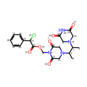 CC(C(C)N1CC(=O)N(COC(=O)C(Cl)c2ccccc2)C(=O)C1)N1CC(=O)NC(=O)C1